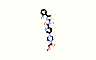 COCC(=O)N1CCN(c2ccc(C(=O)Nc3nc(-c4ccccc4Cl)cs3)nc2)CC1